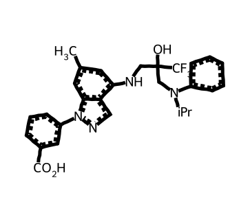 Cc1cc(NCC(O)(CN(c2ccccc2)C(C)C)C(F)(F)F)c2cnn(-c3cccc(C(=O)O)c3)c2c1